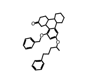 CC(CCCc1ccccc1)Oc1cc(OCc2ccccc2)c2c(c1)C1CCCCC1C1CCC(=O)CC21